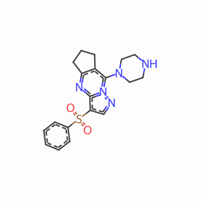 O=S(=O)(c1ccccc1)c1cnn2c(N3CCNCC3)c3c(nc12)CCC3